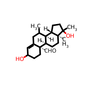 CC1CC2=CC(O)CC[C@]2(C=O)[C@@H]2CC[C@@]3(C)[C@@H](CCC3(C)O)[C@H]12